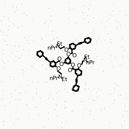 CCCN(CC)CCOc1ccc(C#Cc2ccccc2)cc1C(=O)Oc1cc(OC(=O)c2cc(C#Cc3ccccc3)ccc2OCCN(CC)CCC)cc(OC(=O)c2cc(C#Cc3ccccc3)ccc2OCCN(CC)CCC)c1